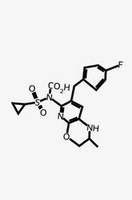 CC1COc2nc(N(C(=O)O)S(=O)(=O)C3CC3)c(Cc3ccc(F)cc3)cc2N1